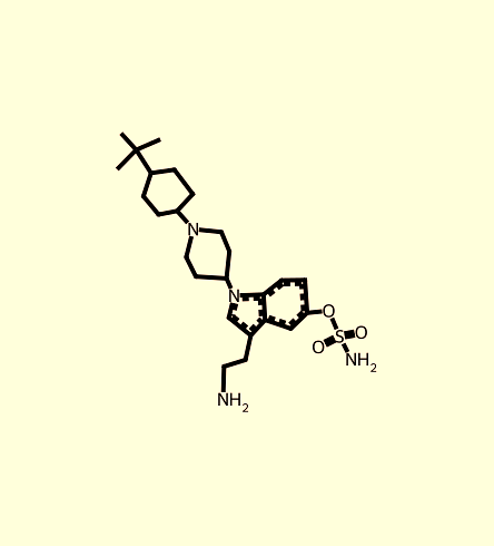 CC(C)(C)C1CCC(N2CCC(n3cc(CCN)c4cc(OS(N)(=O)=O)ccc43)CC2)CC1